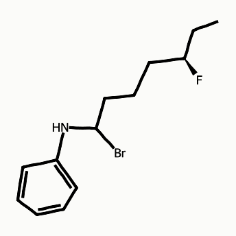 CC[C@@H](F)CCCC(Br)Nc1ccccc1